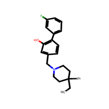 CC(C)C1(CC#N)CCN(Cc2ccc(-c3cccc(F)c3)c(O)c2)CC1